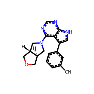 N#Cc1cccc(-c2c[nH]c3ncnc(N4C[C@H]5COC[C@@H]5C4)c23)c1